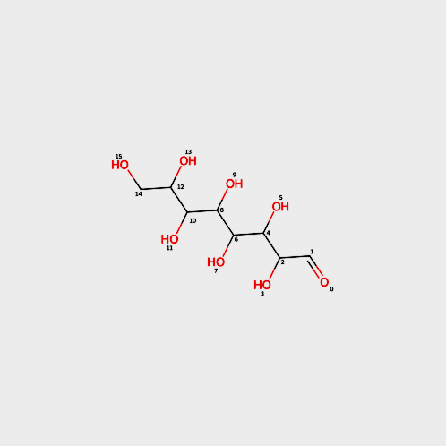 O=CC(O)C(O)C(O)C(O)C(O)C(O)CO